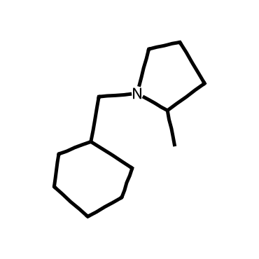 CC1CCCN1CC1CCCCC1